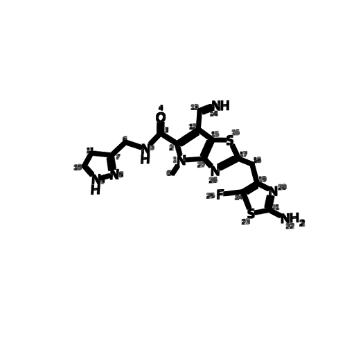 Cn1c(C(=O)NCC2=NNCC2)c(C=N)c2sc(Cc3nc(N)sc3F)nc21